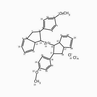 COc1ccc(C2CC3C=CC=CC3[CH]2[Zr+2][CH]2C(c3ccc(OC)cc3)CC3C=CC=CC32)cc1.[Cl-].[Cl-]